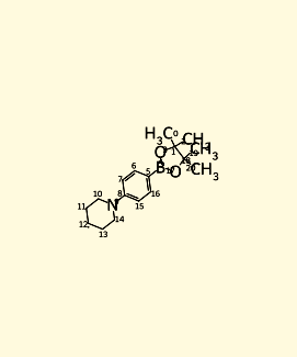 CC1(C)OB(c2ccc(N3CC[CH]CC3)cc2)OC1(C)C